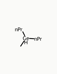 CC[CH2][GeH]([CH3])[CH2]CC